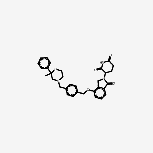 CC1(c2ccccc2)CN(Cc2ccc(COc3cccc4c3CN(C3CCC(=O)NC3=O)C4=O)cc2)CCO1